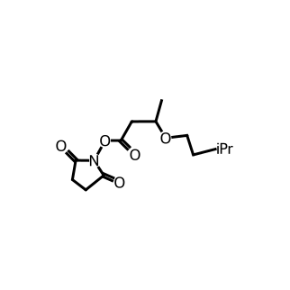 CC(C)CCOC(C)CC(=O)ON1C(=O)CCC1=O